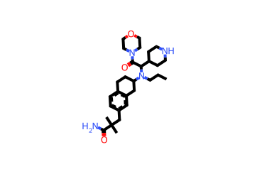 CCCN(C1CCc2ccc(CC(C)(C)C(N)=O)cc2C1)C(C(=O)N1CCOCC1)C1CCNCC1